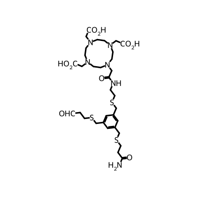 NC(=O)CCSCc1cc(CSCCC=O)cc(CSCCNC(=O)CN2CCN(CC(=O)O)CCN(CC(=O)O)CCN(CC(=O)O)CC2)c1